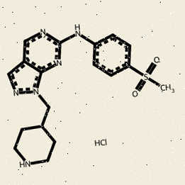 CS(=O)(=O)c1ccc(Nc2ncc3cnn(CC4CCNCC4)c3n2)cc1.Cl